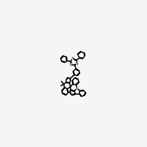 CC1(C)c2ccccc2C2(c3ccccc3-n3c4ccccc4c4cccc2c43)c2cc(-c3cccc(-c4nc(-c5ccccc5)nc(-c5ccccc5)n4)c3)ccc21